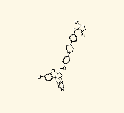 CCN1CCN(CC)C1=Nc1ccc(N2CCN(c3ccc(OCC4COC(Cn5cncn5)(c5ccc(Cl)cc5Cl)O4)cc3)CC2)cc1